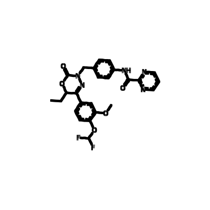 CCC1OC(=O)N(Cc2ccc(NC(=O)c3ncccn3)cc2)N=C1c1ccc(OC(F)F)c(OC)c1